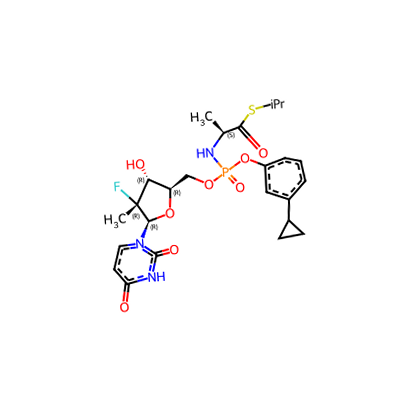 CC(C)SC(=O)[C@H](C)NP(=O)(OC[C@H]1O[C@@H](n2ccc(=O)[nH]c2=O)[C@](C)(F)[C@@H]1O)Oc1cccc(C2CC2)c1